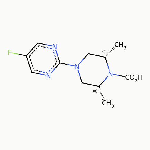 C[C@@H]1CN(c2ncc(F)cn2)C[C@H](C)N1C(=O)O